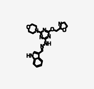 C(=NNc1nc(OCC2=NCCO2)nc(N2CCOCC2)n1)c1c[nH]c2ccccc12